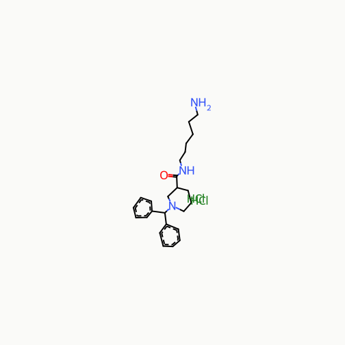 Cl.Cl.NCCCCCCNC(=O)C1CCCN(C(c2ccccc2)c2ccccc2)C1